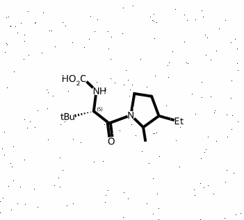 CCC1CCN(C(=O)[C@@H](NC(=O)O)C(C)(C)C)C1C